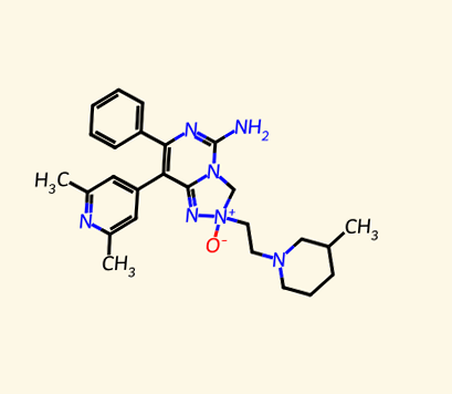 Cc1cc(C2=C(c3ccccc3)N=C(N)N3C[N+]([O-])(CCN4CCCC(C)C4)N=C23)cc(C)n1